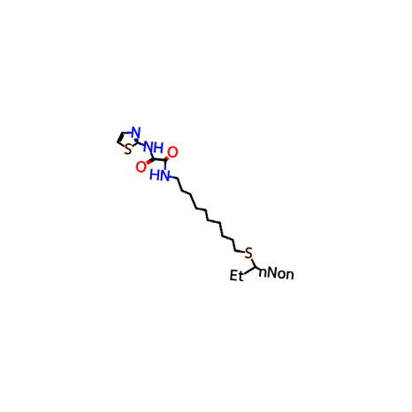 CCCCCCCCCC(CC)SCCCCCCCCCCNC(=O)C(=O)Nc1nccs1